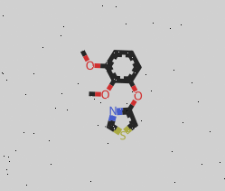 COc1cccc(Oc2cs[c]n2)c1OC